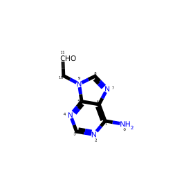 Nc1ncnc2c1ncn2CC=O